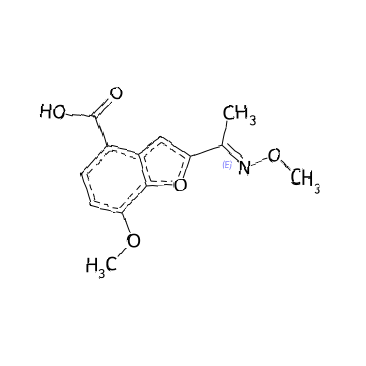 CO/N=C(\C)c1cc2c(C(=O)O)ccc(OC)c2o1